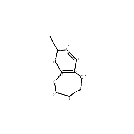 [CH2]C1CC2=C(C=N1)OCCCO2